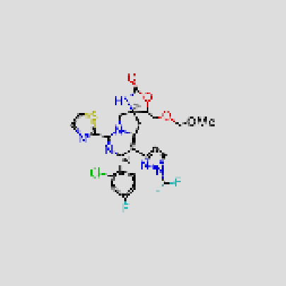 COCOCC1OC(=O)N[C@]12CC1=C(c3ccn(C(F)F)n3)[C@H](c3ccc(F)cc3Cl)N=C(c3nccs3)N1C2